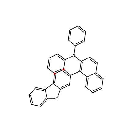 c1ccc(N(c2ccccc2)c2ccc3ccccc3c2-c2ccc3c(c2)oc2ccccc23)cc1